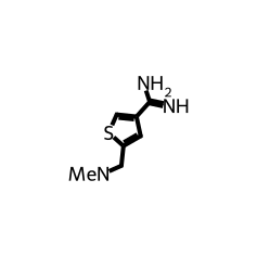 CNCc1cc(C(=N)N)cs1